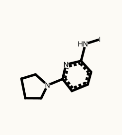 INc1cccc(N2CCCC2)n1